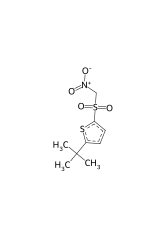 CC(C)(C)c1ccc(S(=O)(=O)C[N+](=O)[O-])s1